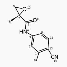 Cc1cc(NC(=O)[C@]2(C)CO2)ccc1C#N